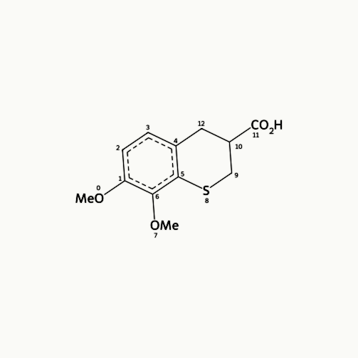 COc1ccc2c(c1OC)SCC(C(=O)O)C2